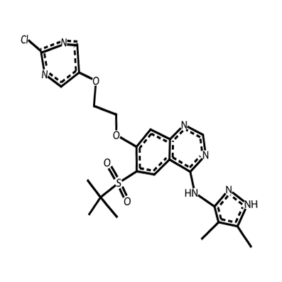 Cc1[nH]nc(Nc2ncnc3cc(OCCOc4cnc(Cl)nc4)c(S(=O)(=O)C(C)(C)C)cc23)c1C